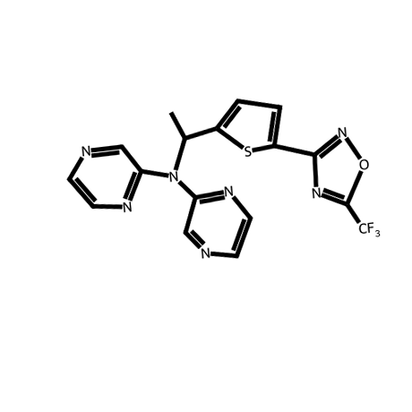 CC(c1ccc(-c2noc(C(F)(F)F)n2)s1)N(c1cnccn1)c1cnccn1